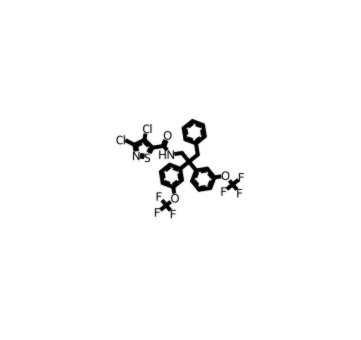 O=C(NCC(Cc1ccccc1)(c1cccc(OC(F)(F)F)c1)c1cccc(OC(F)(F)F)c1)c1snc(Cl)c1Cl